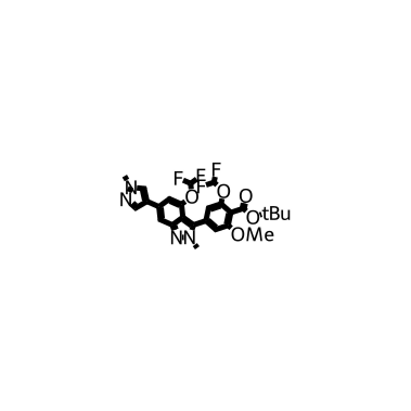 COc1cc(-c2c3c(OC(F)F)cc(-c4cnn(C)c4)cc3nn2C)cc(OC(F)F)c1C(=O)OC(C)(C)C